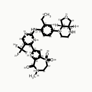 CCc1cc(N2CCN[C@H]3COC[C@H]32)ccc1Nc1ncc(C(F)(F)F)c(-c2cc3c(s2)C(=O)N(C)CCS3(=O)=O)n1